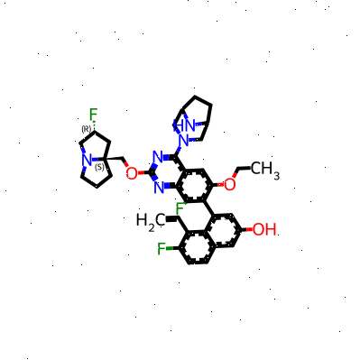 C=Cc1c(F)ccc2cc(O)cc(-c3c(OCC)cc4c(N5CC6CCC(C5)N6)nc(OC[C@@]56CCCN5C[C@H](F)C6)nc4c3F)c12